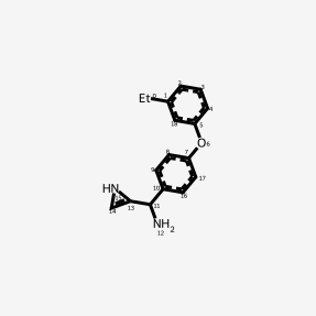 CCc1cccc(Oc2ccc(C(N)C3=CN3)cc2)c1